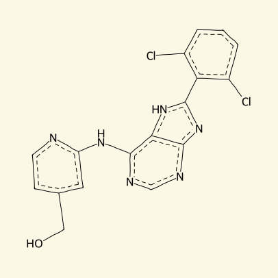 OCc1ccnc(Nc2ncnc3nc(-c4c(Cl)cccc4Cl)[nH]c23)c1